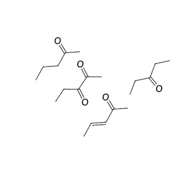 CC=CC(C)=O.CCC(=O)C(C)=O.CCC(=O)CC.CCCC(C)=O